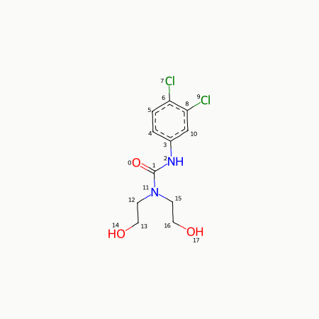 O=C(Nc1ccc(Cl)c(Cl)c1)N(CCO)CCO